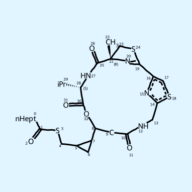 CCCCCCCC(=O)SCC1CC1C1CC(=O)NCc2nc(cs2)C2=N[C@@](C)(CS2)C(=O)N[C@@H](C(C)C)C(=O)O1